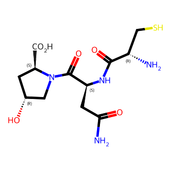 NC(=O)C[C@H](NC(=O)[C@@H](N)CS)C(=O)N1C[C@H](O)C[C@H]1C(=O)O